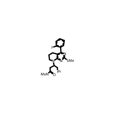 CNC(=O)CC(CC(C)C)N1CCCc2c(-c3ccccc3F)nc(SC)nc21